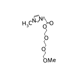 COCCOCCOCCOC(=O)C[n+]1ccn(C)c1